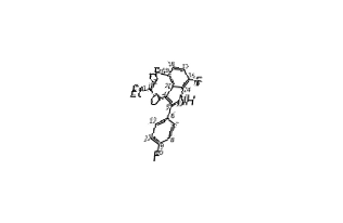 CCC(=O)Oc1c(-c2ccc(F)cc2)[nH]c2c(F)ccc(F)c12